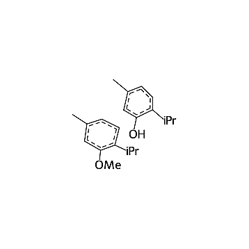 COc1cc(C)ccc1C(C)C.Cc1ccc(C(C)C)c(O)c1